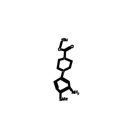 CSc1ccc(N2CCN(C(=O)OC(C)(C)C)CC2)cc1N